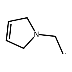 [CH2]CN1CC=CC1